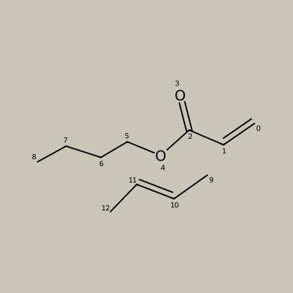 C=CC(=O)OCCCC.CC=CC